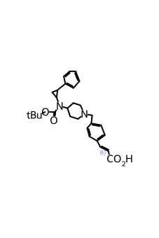 CC(C)(C)OC(=O)N(C1CCN(Cc2ccc(/C=C/C(=O)O)cc2)CC1)C1CC1c1ccccc1